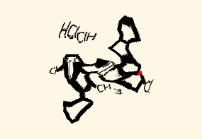 CC1=[C]([Zr](=[CH]c2ccc(Cl)cc2)(=[CH]c2ccc(Cl)cc2)[c]2cccc3c2Cc2ccccc2-3)C(C)C=C1c1ccccc1.Cl.Cl